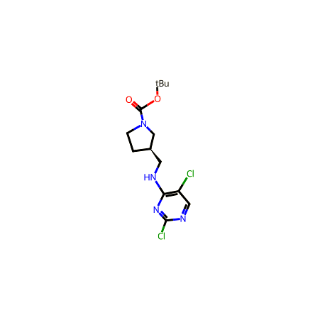 CC(C)(C)OC(=O)N1CC[C@H](CNc2nc(Cl)ncc2Cl)C1